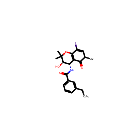 CC(=O)OCc1cccc(C(=O)N[C@H]2C3=C(OC(C)(C)[C@@H]2O)C(I)=CC(C(C)=O)C3=O)c1